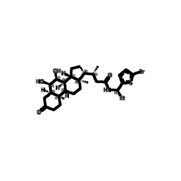 CC[C@@H](NC(=O)C[C@@H](C)[C@H]1CC[C@H]2[C@@H]3[C@H](O)[C@H](O)[C@@H]4CC(=O)CC[C@]4(C)[C@H]3CC[C@]12C)c1ccc(Br)s1